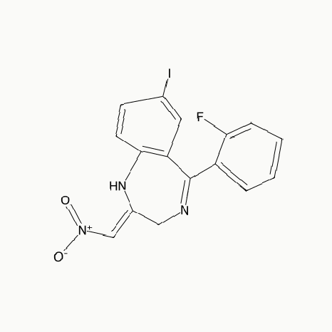 O=[N+]([O-])C=C1CN=C(c2ccccc2F)c2cc(I)ccc2N1